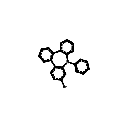 Brc1ccc2c(c1)N(c1ccccc1)c1ccccc1-c1ccccc1-2